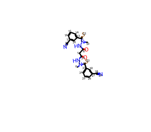 CN(NC(=O)CC(=O)NN(C)C(=S)c1cccc(C#N)c1)C(=S)c1cccc(C#N)c1